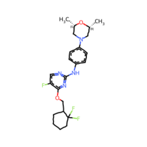 C[C@@H]1CN(c2ccc(Nc3ncc(F)c(OCC4CCCCC4(F)F)n3)cc2)C[C@H](C)O1